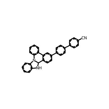 N#Cc1ccc(-c2ccc(-c3ccc4c(c3)-c3ccccc3N3c5ccccc5NC43)cc2)cc1